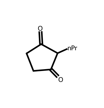 CCCC1C(=O)CCC1=O